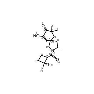 CC1(C)C[C@@]2(C=C(C#N)C1=O)CCN(C(=O)C1CCC1(F)F)C2